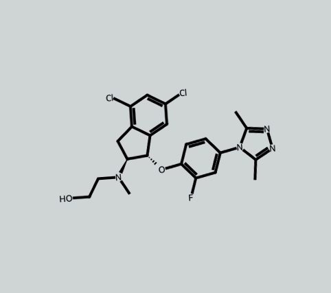 Cc1nnc(C)n1-c1ccc(O[C@H]2c3cc(Cl)cc(Cl)c3C[C@@H]2N(C)CCO)c(F)c1